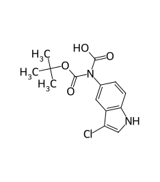 CC(C)(C)OC(=O)N(C(=O)O)c1ccc2[nH]cc(Cl)c2c1